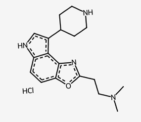 CN(C)CCc1nc2c(ccc3[nH]cc(C4CCNCC4)c32)o1.Cl